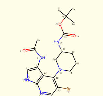 CC(=O)Nc1c[nH]c2ncc(Br)c(N3CCC[C@@H](NC(=O)OC(C)(C)C)C3)c12